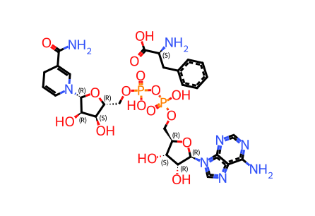 NC(=O)C1=CN([C@@H]2O[C@H](COP(=O)(O)OP(=O)(O)OC[C@H]3O[C@@H](n4cnc5c(N)ncnc54)[C@H](O)[C@@H]3O)[C@@H](O)[C@H]2O)C=CC1.N[C@@H](Cc1ccccc1)C(=O)O